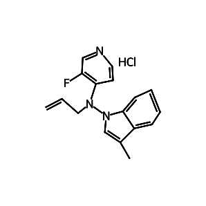 C=CCN(c1ccncc1F)n1cc(C)c2ccccc21.Cl